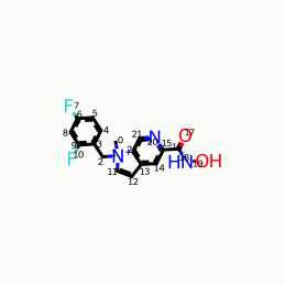 C[N+]1(Cc2ccc(F)cc2F)C=Cc2cc(C(=O)NO)ncc21